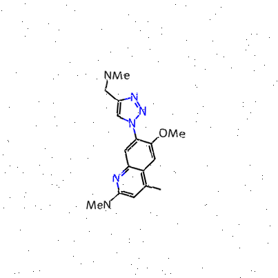 CNCc1cn(-c2cc3nc(NC)cc(C)c3cc2OC)nn1